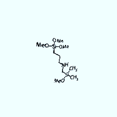 CO[Si](C)(C)CNCCC[Si](OC)(OC)OC